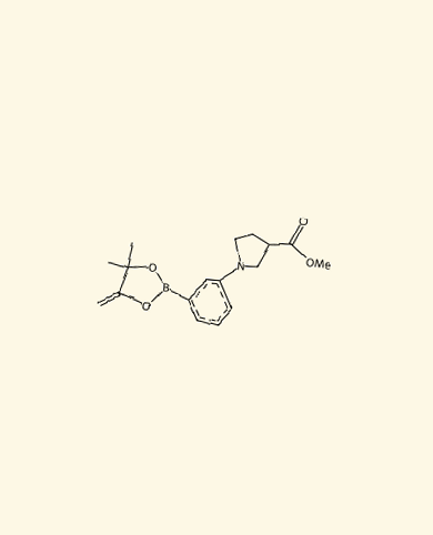 C=C1OB(c2cccc(N3CCC(C(=O)OC)C3)c2)OC1(C)C